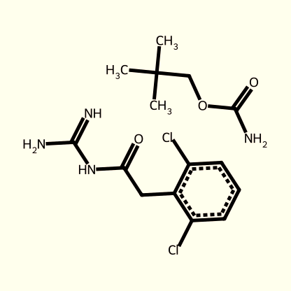 CC(C)(C)COC(N)=O.N=C(N)NC(=O)Cc1c(Cl)cccc1Cl